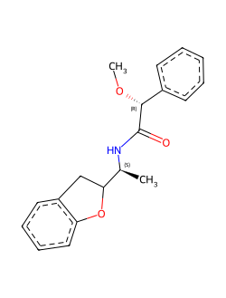 CO[C@@H](C(=O)N[C@@H](C)C1Cc2ccccc2O1)c1ccccc1